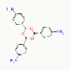 Nc1ccc(B2OB(c3ccc(N)cc3)OB(c3ccc(N)cc3)O2)cc1